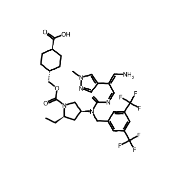 C=C(/N=C\C(=C/N)c1cnn(C)c1)N(Cc1cc(C(F)(F)F)cc(C(F)(F)F)c1)[C@H]1C[C@@H](CC)N(C(=O)OC[C@H]2CC[C@H](C(=O)O)CC2)C1